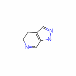 C1=NCCC2=C1[N]N=C2